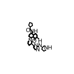 Cc1ccc2c(NC(=O)C3CCCC3)cccc2c1Oc1ncccc1-c1ccnc(N[C@H]2CCCNC2)n1